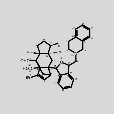 CC(C)C1=CC2CC3(C=O)[C@@H]4CC[C@@H](C)[C@H]4CC2(C2OC(CN4CCc5ccccc5C4)c4ccccc42)C13C(=O)O